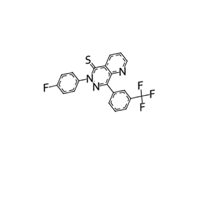 Fc1ccc(-n2nc(-c3cccc(C(F)(F)F)c3)c3ncccc3c2=S)cc1